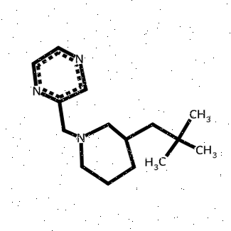 CC(C)(C)CC1CCCN(Cc2cnccn2)C1